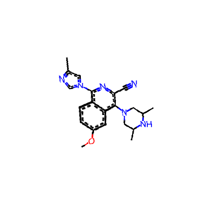 COc1ccc2c(-n3cnc(C)c3)nc(C#N)c(N3CC(C)NC(C)C3)c2c1